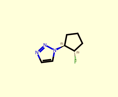 F[C@H]1CCC[C@@H]1n1ccnn1